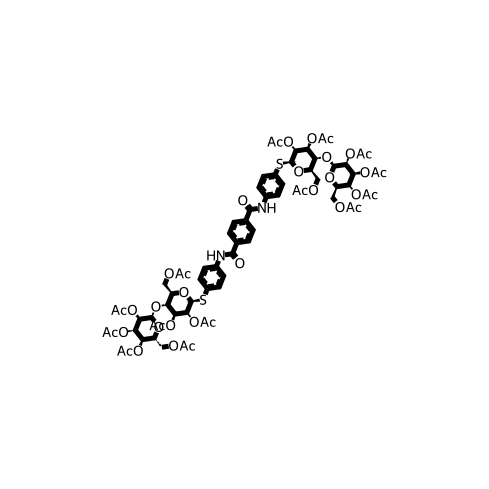 CC(=O)OC[C@H]1O[C@@H](Sc2ccc(NC(=O)c3ccc(C(=O)Nc4ccc(S[C@@H]5O[C@H](COC(C)=O)[C@@H](O[C@@H]6O[C@H](COC(C)=O)[C@@H](OC(C)=O)[C@H](OC(C)=O)[C@H]6OC(C)=O)[C@H](OC(C)=O)[C@H]5OC(C)=O)cc4)cc3)cc2)[C@H](OC(C)=O)[C@@H](OC(C)=O)[C@@H]1O[C@@H]1O[C@H](COC(C)=O)[C@@H](OC(C)=O)[C@H](OC(C)=O)[C@H]1OC(C)=O